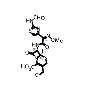 CO/N=C(\C(=O)N[C@@H]1C(=O)N2C(C(=O)O)=C(CCl)CS[C@H]12)c1csc(NC=O)n1